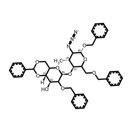 C[C@@H]1C(N=[N+]=[N-])[C@H](OCc2ccccc2)OC(COCc2ccccc2)[C@H]1O[C@@H]1OC2COC(c3ccccc3)O[C@H]2[C@H](O)C1OCc1ccccc1